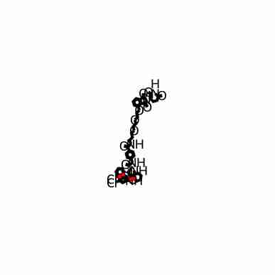 O=C1CCC(N2C(=O)c3cccc(OCCOCCOCCCNC(=O)c4ccc(NC(=O)[C@@H]5NC6(CCCCC6)[C@@]6(C(=O)Nc7cc(Cl)ccc76)[C@H]5c5cccc(Cl)c5F)cc4)c3C2=O)C(=O)N1